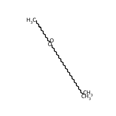 CCCCC=CCCCCCCCC(=O)OCCCCCCCCCCCCCCCCCCCCCCCCCCCCC(C)C